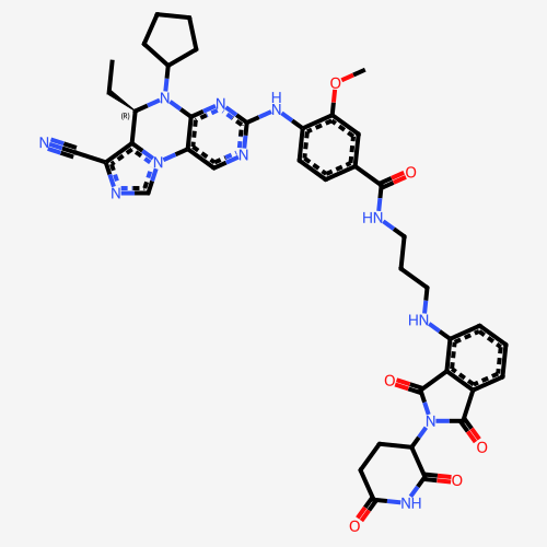 CC[C@@H]1c2c(C#N)ncn2-c2cnc(Nc3ccc(C(=O)NCCCNc4cccc5c4C(=O)N(C4CCC(=O)NC4=O)C5=O)cc3OC)nc2N1C1CCCC1